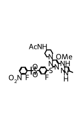 COc1c(Nc2cc(C)[nH]n2)nc(Sc2ccc(S(=O)(=O)C(C)(C)c3cccc([N+](=O)[O-])c3F)cc2F)nc1N1CCC(NC(C)=O)CC1